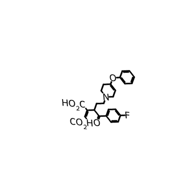 O=C(O)/C=C(/C(=O)O)C(CCN1CC=C(Oc2ccccc2)CC1)C(=O)c1ccc(F)cc1